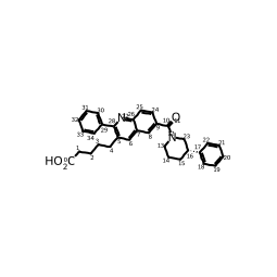 O=C(O)CCCCc1cc2cc(C(=O)N3CCC[C@@H](c4ccccc4)C3)ccc2nc1-c1ccccc1